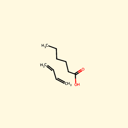 C=CC=C.CCCCCC(=O)O